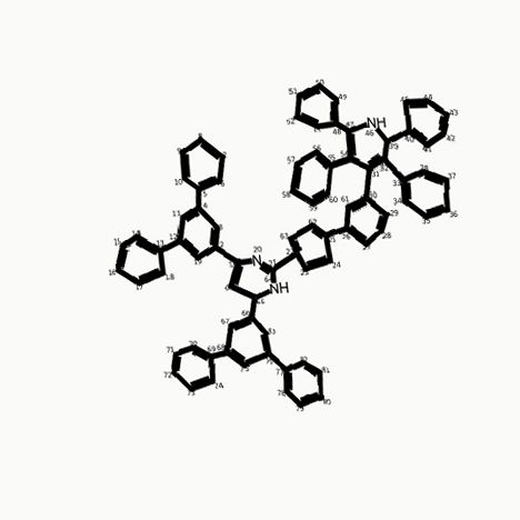 C1=C(c2cc(-c3ccccc3)cc(-c3ccccc3)c2)N=C(c2ccc(-c3cccc(C4=C(c5ccccc5)C(c5ccccc5)NC(c5ccccc5)=C4c4ccccc4)c3)cc2)NC1c1cc(-c2ccccc2)cc(-c2ccccc2)c1